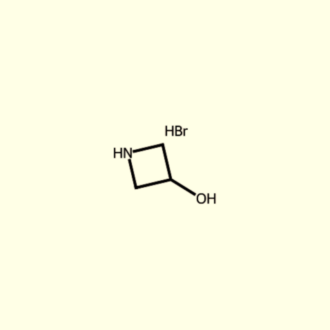 Br.OC1CNC1